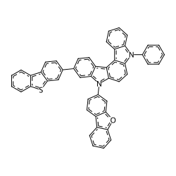 c1ccc(-n2c3ccccc3c3c4c5ccc(-c6ccc7c(c6)sc6ccccc67)cc5n(-c5ccc6c(c5)oc5ccccc56)c4ccc32)cc1